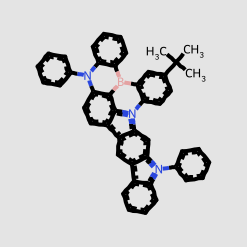 CC(C)(C)c1ccc2c(c1)B1c3ccccc3N(c3ccccc3)c3ccc4c5cc6c7ccccc7n(-c7ccccc7)c6cc5n-2c4c31